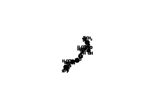 Cc1ncsc1-c1ccc(CNC(=O)[C@@H]2C[C@@H](O)CN2C(=O)[C@@H](NC(=O)CCN2CCC(Oc3ccc(-c4ccc(N5C(=S)N(c6ccc(C#N)c(C(F)(F)F)c6F)C(=O)C5(C)C)cn4)cc3)CC2)C(C)(C)C)cc1